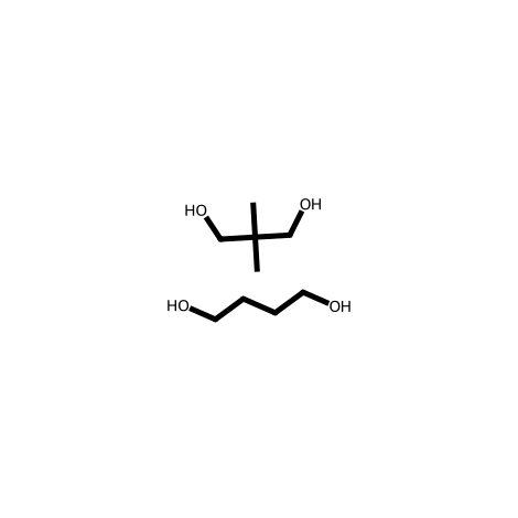 CC(C)(CO)CO.OCCCCO